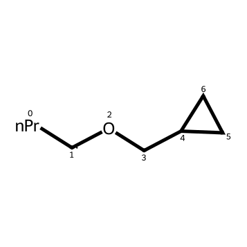 CCC[CH]OCC1CC1